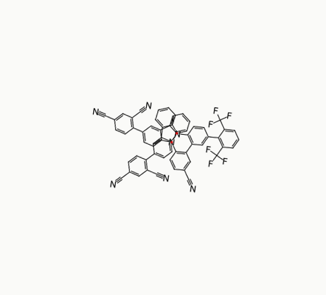 N#Cc1ccc(-c2ccc3c(c2)c2ccccc2n3-c2ccc(C#N)cc2-c2cc(-c3c(C(F)(F)F)cccc3C(F)(F)F)ccc2-n2c3ccccc3c3cc(-c4ccc(C#N)cc4C#N)ccc32)c(C#N)c1